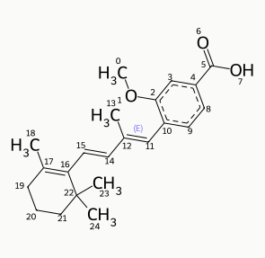 COc1cc(C(=O)O)ccc1/C=C(\C)C=CC1=C(C)CCCC1(C)C